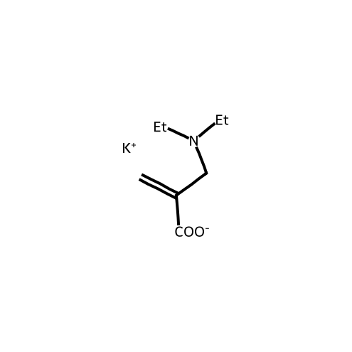 C=C(CN(CC)CC)C(=O)[O-].[K+]